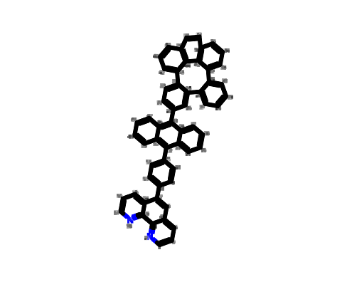 c1cnc2c(c1)cc(-c1ccc(-c3c4ccccc4c(-c4ccc5c(c4)c4ccccc4c4cccc6ccc7cccc5c7c64)c4ccccc34)cc1)c1cccnc12